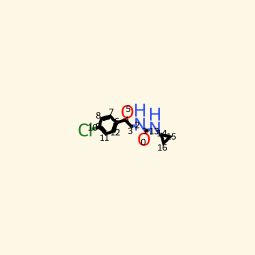 O=C(NCC(=O)c1ccc(Cl)cc1)NC1CC1